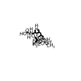 CCNC(=O)N/C(=C/C(CC1CNC=C(C(=O)NNC(=O)O)C1)C1NC(C(F)(F)F)=CS1)NCC